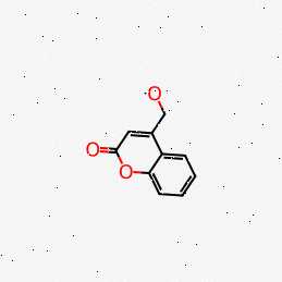 [O]Cc1cc(=O)oc2ccccc12